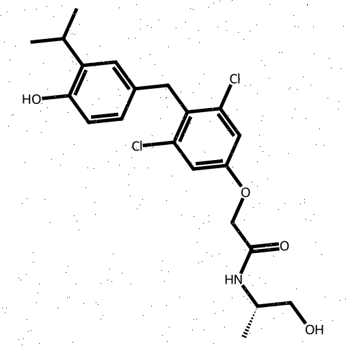 CC(C)c1cc(Cc2c(Cl)cc(OCC(=O)N[C@@H](C)CO)cc2Cl)ccc1O